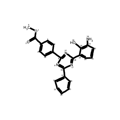 COC(=O)c1ccc(-c2nc(-c3ccccc3)nc(-c3cccc(N)c3O)n2)cc1